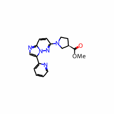 COC(=O)[C@@H]1CCN(c2ccc3ncc(-c4ccccn4)n3n2)C1